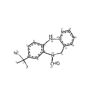 CC(C)(C#N)c1ccc2c(c1)N(C=O)Cc1cccnc1N2